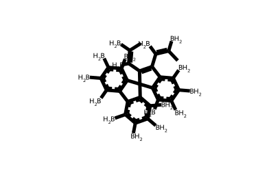 B/C(C)=C(\B)C1=C(/C(B)=C(/B)C)C2(c3c(B)c(B)c(B)c(B)c31)c1c(B)c(B)c(B)c(B)c1-c1c(B)c(B)c(B)c(B)c12